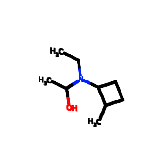 CCN(C(C)O)C1CCC1C